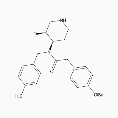 Cc1ccc(CN(C(=O)Cc2ccc(OCC(C)C)cc2)[C@@H]2CCNC[C@@H]2F)cc1